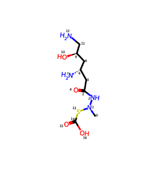 CN(NC(=O)C[C@H](N)C[C@@H](O)CN)SC(=O)O